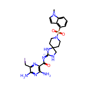 Cn1ccc2c(S(=O)(=O)N3CCC4(CC3)CN/C(=N\C(=O)c3nc(CI)c(N)nc3N)N4)cccc21